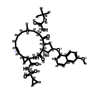 COc1ccc2c(OC3C[C@H]4C(=O)N[C@]5(C(=O)NS(=O)(=O)C6CC6)CC5/C=C\CCCN(C)C[C@H](NC(=O)OC(C)(C)C)C(=O)N4C3)nccc2c1